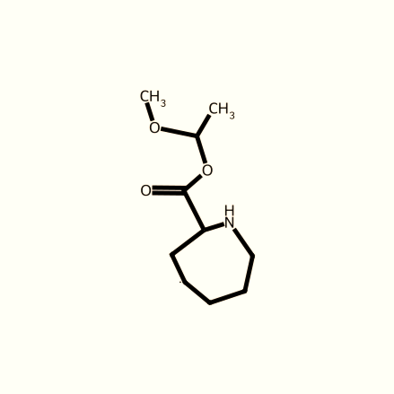 COC(C)OC(=O)C1C[CH]CCCN1